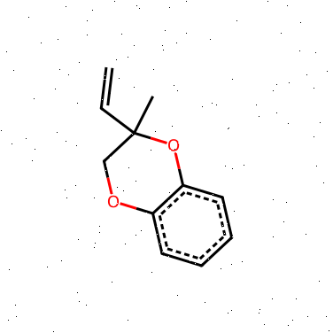 C=CC1(C)COc2ccccc2O1